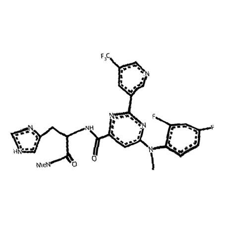 CNC(=O)C(Cc1c[nH]cn1)NC(=O)c1cc(N(C)c2ccc(F)cc2F)nc(-c2cncc(C(F)(F)F)c2)n1